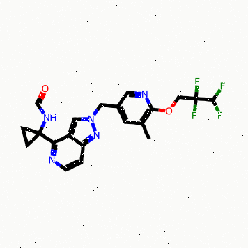 Cc1cc(Cn2cc3c(C4(NC=O)CC4)nccc3n2)cnc1OCC(F)(F)C(F)F